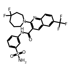 NS(=O)(=O)c1cccc(NC(=O)c2cc3cc(C(F)(F)F)ccc3nc2N2CCCC(F)(F)CC2)c1